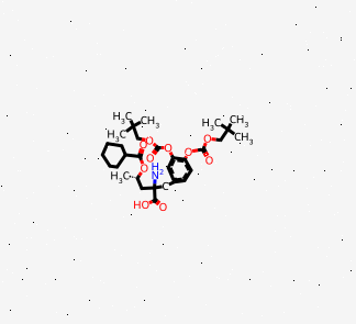 C[C@@H](CC(N)(Cc1ccc(OC(=O)OCC(C)(C)C)c(OC(=O)OCC(C)(C)C)c1)C(=O)O)OC(=O)C1CCCCC1